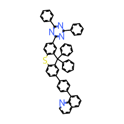 c1ccc(-c2nc(-c3ccccc3)nc(-c3ccc4c(c3)C(c3ccccc3)(c3ccccc3)c3cc(-c5ccc(-c6cccc7cccnc67)cc5)ccc3S4)n2)cc1